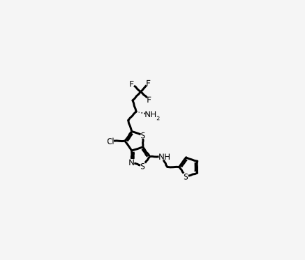 N[C@H](Cc1sc2c(NCc3cccs3)snc2c1Cl)CC(F)(F)F